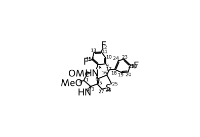 COC(OC)C(=N)C1=C(Nc2ccc(F)cc2F)C(Cc2ccc(F)cc2)CSC1